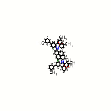 Cc1cccc(-c2cc(F)c(N(c3ccc(C)cc3C)c3ccc4ccc5c(N(c6cccc(C)c6C)c6c(F)cc(-c7cccc(C)c7)cc6-c6cccc(C)c6)ccc6ccc3c4c65)c(-c3cccc(C)c3)c2)c1